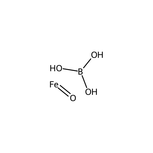 OB(O)O.[O]=[Fe]